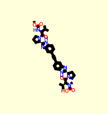 COC(=O)N[C@H](C(=O)N1CCC[C@H]1c1nc2cc(C#Cc3ccc4[nH]c([C@@H]5CCCN5C(=O)[C@H](C(C)C)N(C)C(=O)O)nc4c3)ccc2[nH]1)C(C)C